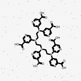 O=C(O)c1cncc(N(CCN(CCN(c2cncc(C(=O)O)c2)c2ccnc(C(=O)O)c2)c2cncc(C(=O)O)c2)CCN(c2cncc(C(=O)O)c2)c2cncc(C(=O)O)c2)c1